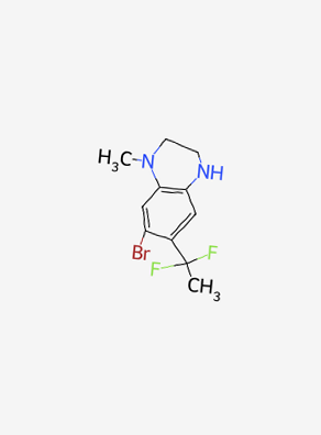 CN1CCNc2cc(C(C)(F)F)c(Br)cc21